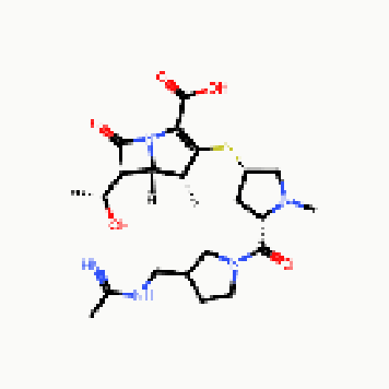 CC(=N)NC[C@@H]1CCN(C(=O)[C@@H]2C[C@H](SC3=C(C(=O)O)N4C(=O)[C@H]([C@@H](C)O)[C@H]4[C@H]3C)CN2C)C1